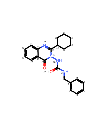 O=C(NCc1ccccc1)Nn1c(C2CCCCC2)nc2ccccc2c1=O